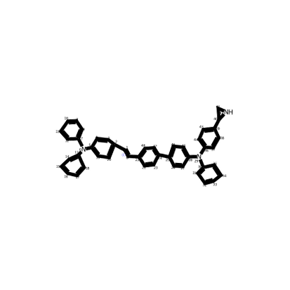 C(=C\c1ccc(N(c2ccccc2)c2ccccc2)cc1)/c1ccc(-c2ccc(N(c3ccccc3)c3ccc(C4CN4)cc3)cc2)cc1